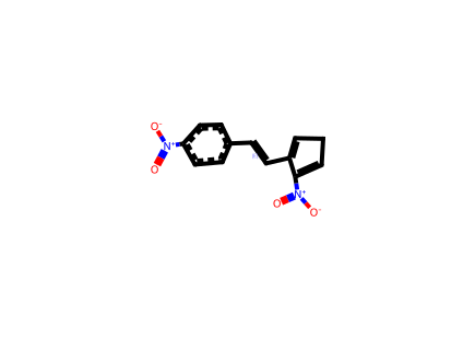 O=[N+]([O-])C1=CCC=C1/C=C/c1ccc([N+](=O)[O-])cc1